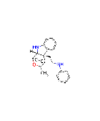 CC1OC2CCC1[C@@]1(CCNc3ccccc3)c3ccccc3N[C@@H]21